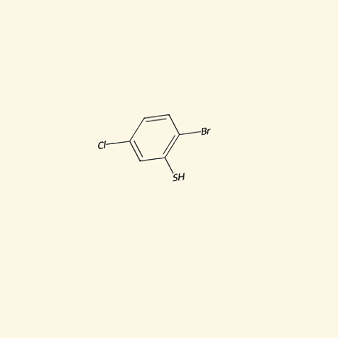 Sc1cc(Cl)ccc1Br